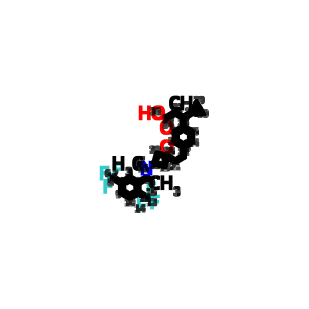 CC(c1cc(C(F)(F)F)ccc1C(F)(F)F)N(C)C1CC2(CCc3ccc(C(C4CC4)[C@H](C)C(=O)O)cc3O2)C1